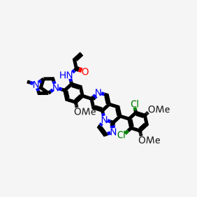 C=CC(=O)Nc1cc(-c2cc3c(cn2)cc(-c2c(Cl)c(OC)cc(OC)c2Cl)c2nccn23)c(OC)cc1N1CC2CC1CN2C